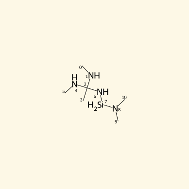 CNC(C)(NC)N[SiH2]N(C)C